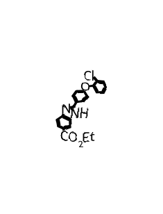 CCOC(=O)c1ccc2nc(-c3ccc(Oc4ccccc4Cl)cc3)[nH]c2c1